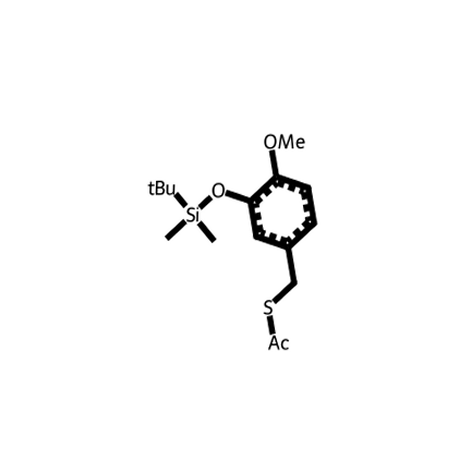 COc1ccc(CSC(C)=O)cc1O[Si](C)(C)C(C)(C)C